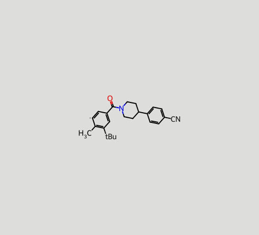 Cc1[c]cc(C(=O)N2CCC(c3ccc(C#N)cc3)CC2)cc1C(C)(C)C